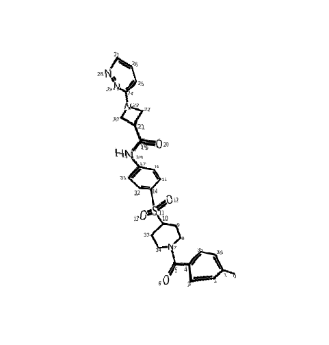 Cc1ccc(C(=O)N2CCC(S(=O)(=O)c3ccc(NC(=O)C4CN(c5cccnn5)C4)cc3)CC2)cc1